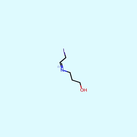 OCCC/N=C\CI